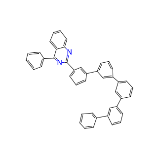 c1ccc(-c2cccc(-c3cccc(-c4cccc(-c5cccc(-c6nc(-c7ccccc7)c7ccccc7n6)c5)c4)c3)c2)cc1